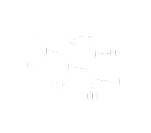 BB(B)B(B)B(B)B(B(B)B)B(B)B